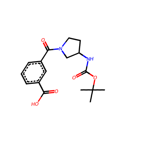 CC(C)(C)OC(=O)NC1CCN(C(=O)c2cccc(C(=O)O)c2)C1